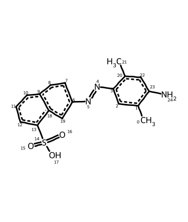 Cc1cc(/N=N/c2ccc3cccc(S(=O)(=O)O)c3c2)c(C)cc1N